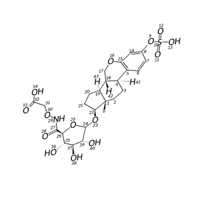 C[C@]12CC[C@@H]3c4ccc(OS(=O)(=O)O)cc4OC[C@H]3[C@@H]1CC[C@@H]2OC1O[C@H](C(=O)NOCC(=O)O)[C@@H](O)[C@H](O)[C@H]1O